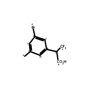 Cc1cc(Br)cc(C(C(=O)O)C(F)(F)F)c1